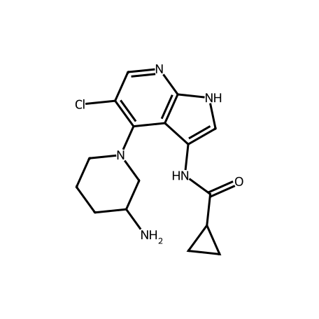 NC1CCCN(c2c(Cl)cnc3[nH]cc(NC(=O)C4CC4)c23)C1